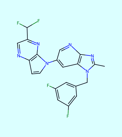 Cc1nc2ncc(-n3ccc4ncc(C(F)F)nc43)cc2n1Cc1cc(F)cc(F)c1